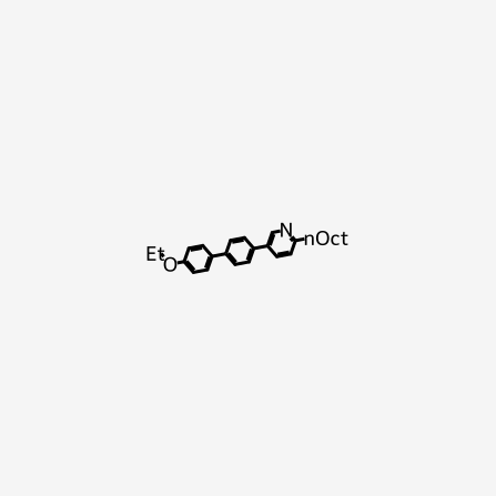 CCCCCCCCc1ccc(-c2ccc(-c3ccc(OCC)cc3)cc2)cn1